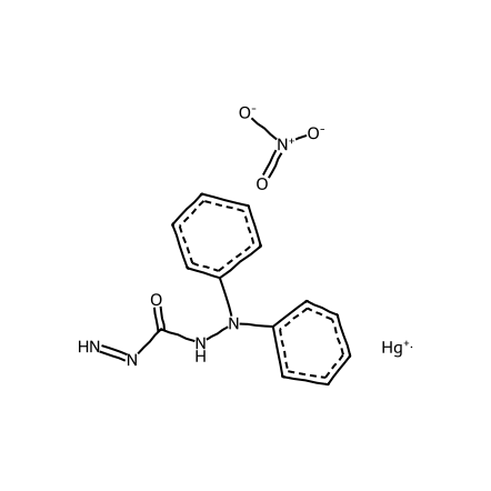 N=NC(=O)NN(c1ccccc1)c1ccccc1.O=[N+]([O-])[O-].[Hg+]